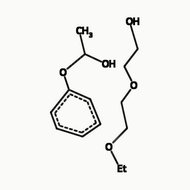 CC(O)Oc1ccccc1.CCOCCOCCO